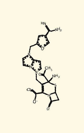 CC(=O)C1(N)SC2CC(=O)N2C(C(=O)[O-])=C1C[n+]1ccc2n(Cc3cc(C(=N)N)co3)ccn21